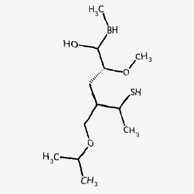 CBC(O)[C@@H](CC(COC(C)C)C(C)S)OC